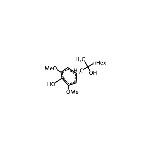 CCCCCCC(C)(C)O.COc1cccc(OC)c1O